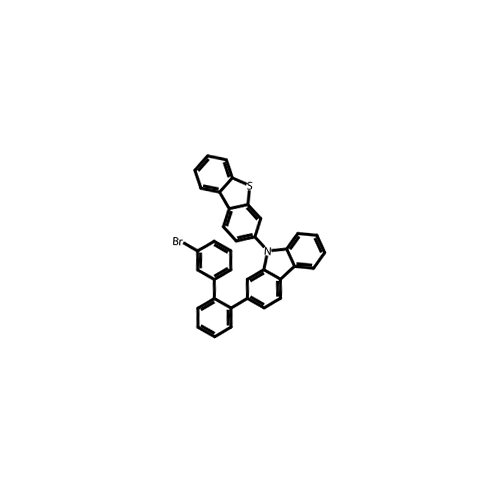 Brc1cccc(-c2ccccc2-c2ccc3c4ccccc4n(-c4ccc5c(c4)sc4ccccc45)c3c2)c1